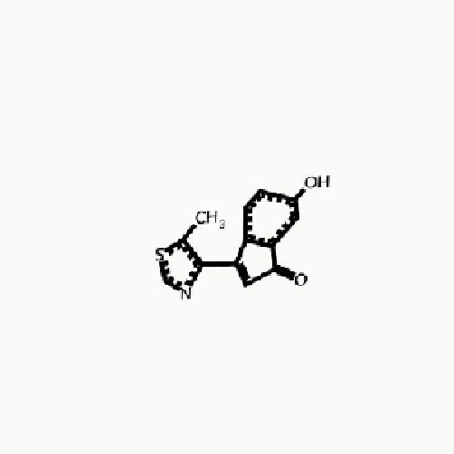 Cc1scnc1C1=CC(=O)c2cc(O)ccc21